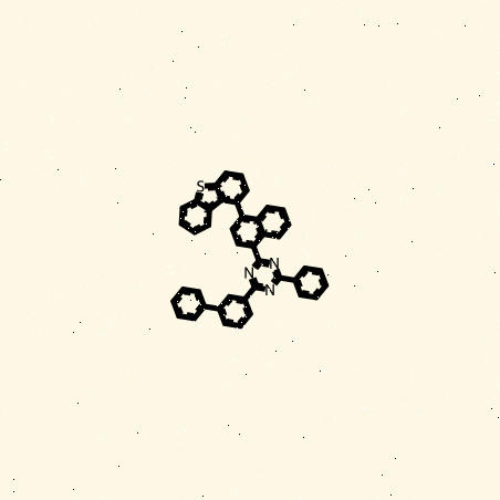 c1ccc(-c2cccc(-c3nc(-c4ccccc4)nc(-c4ccc(-c5cccc6sc7ccccc7c56)c5ccccc45)n3)c2)cc1